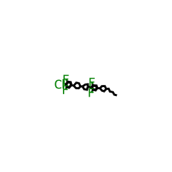 CCCCCC1CCC(c2cc(F)c(C3CCC(C4CCC(c5cc(F)c(Cl)c(F)c5)CC4)CC3)c(F)c2)CC1